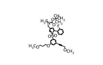 COCC#Cc1cc(OCCCOC)cc(S(=O)(=O)n2cc(CN(C)C(=O)OC(C)(C)C)cc2-c2ccccc2F)c1